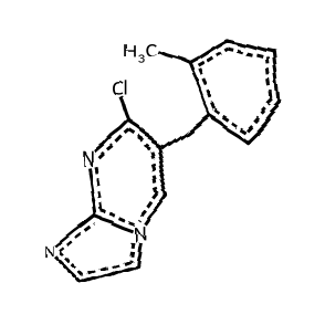 Cc1ccccc1-c1cn2ccnc2nc1Cl